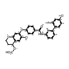 O=C(O)OC1CCOc2cc(Oc3ccc(C(=O)Nc4cccc(-c5ccc(Cl)cc5F)n4)cc3)c(Cl)cc21